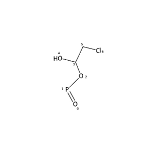 O=POC(O)CCl